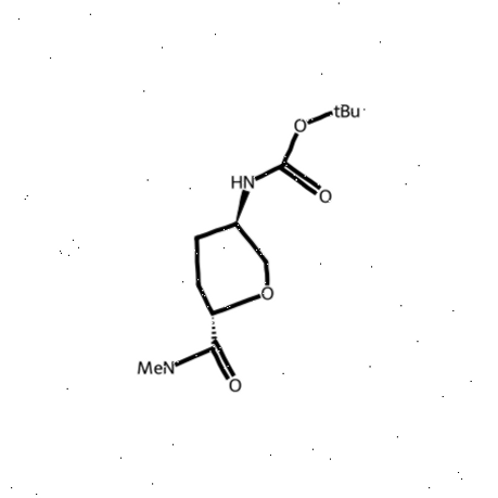 CNC(=O)[C@@H]1CC[C@@H](NC(=O)OC(C)(C)C)CO1